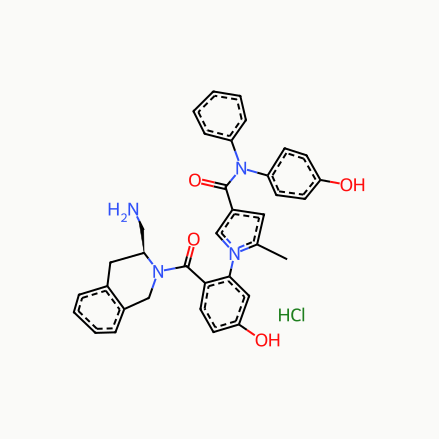 Cc1cc(C(=O)N(c2ccccc2)c2ccc(O)cc2)cn1-c1cc(O)ccc1C(=O)N1Cc2ccccc2C[C@H]1CN.Cl